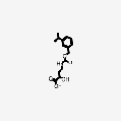 CC(C)c1cccc(COC(=O)NCCC(O)C(=O)O)c1